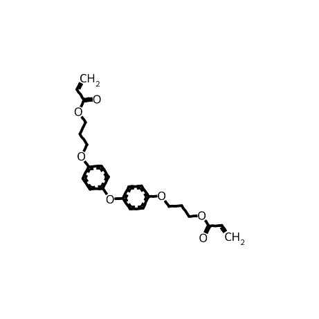 C=CC(=O)OCCCOc1ccc(Oc2ccc(OCCCOC(=O)C=C)cc2)cc1